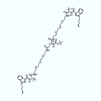 C=CCCCn1nc(C(=O)N[C@H](C(=O)NCCOCCOCCOCCNC(=O)CC[C@H](NC(=O)OC(C)(C)C)C(=O)NCCOCCOCCOCCNC(=O)[C@@H](NC(=O)c2nn(CCCC=C)c3ccccc23)C(C)(C)C)C(C)(C)C)c2ccccc21